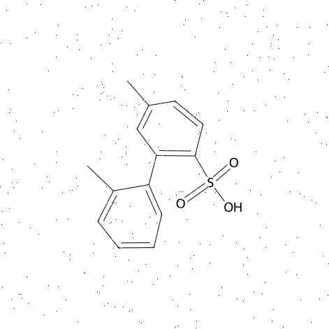 Cc1ccc(S(=O)(=O)O)c(-c2ccccc2C)c1